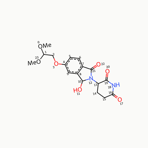 COC(COc1ccc2c(c1)C(O)N(C1CCC(=O)NC1=O)C2=O)OC